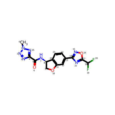 Cn1nnc(C(=O)N[C@@H]2COc3cc(-c4noc(C(F)F)n4)ccc32)n1